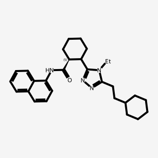 CCn1c(CCC2CCCCC2)nnc1C1CCCC[C@@H]1C(=O)Nc1cccc2ccccc12